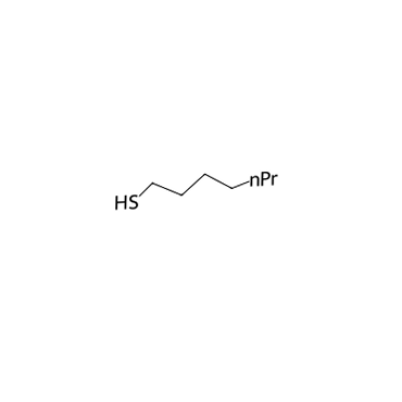 [CH2]CCCCCCS